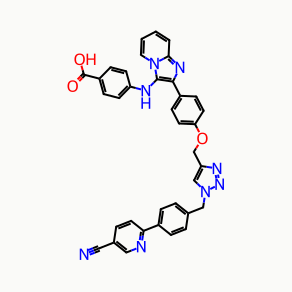 N#Cc1ccc(-c2ccc(Cn3cc(COc4ccc(-c5nc6ccccn6c5Nc5ccc(C(=O)O)cc5)cc4)nn3)cc2)nc1